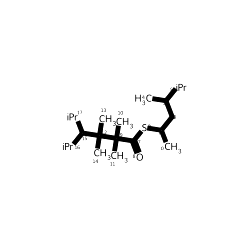 CC(CC(C)C(C)C)SC(=O)C(C)(C)C(C)(C)C(C(C)C)C(C)C